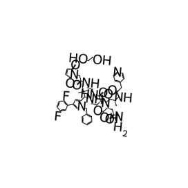 C[C@H](NC(=O)Cc1ccncc1)C(=O)N([C@@H](CC(N)=O)C(=O)O)[C@@H](CCN[C@@H](c1cc(-c2cc(F)ccc2F)cn1Cc1ccccc1)C(C)(C)C)C(=O)NCCNC(=O)CN1C(=O)C=CC1=O.OCCO